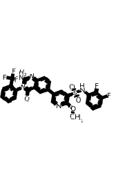 COc1ncc(-c2ccc3nc(N)n(-c4ccccc4C(F)(F)F)c(=O)c3c2)cc1S(=O)(=O)Nc1cccc(F)c1F